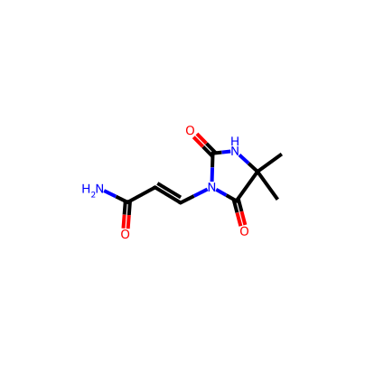 CC1(C)NC(=O)N(C=CC(N)=O)C1=O